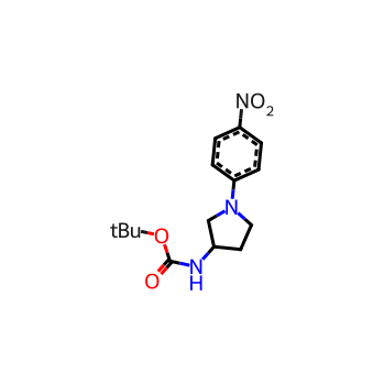 CC(C)(C)OC(=O)NC1CCN(c2ccc([N+](=O)[O-])cc2)C1